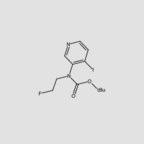 CC(C)(C)OC(=O)N(CCF)c1cnccc1I